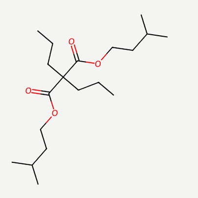 CCCC(CCC)(C(=O)OCCC(C)C)C(=O)OCCC(C)C